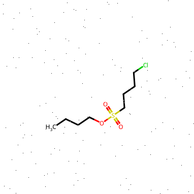 CCCCOS(=O)(=O)CCCCCl